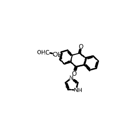 O=C1c2ccccc2C(=O)c2ccccc21.O=CO.c1c[nH]cn1